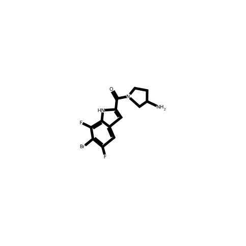 NC1CCN(C(=O)c2cc3cc(F)c(Br)c(F)c3[nH]2)C1